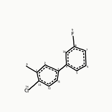 Cc1cc(-c2cccc(F)c2)ccc1Cl